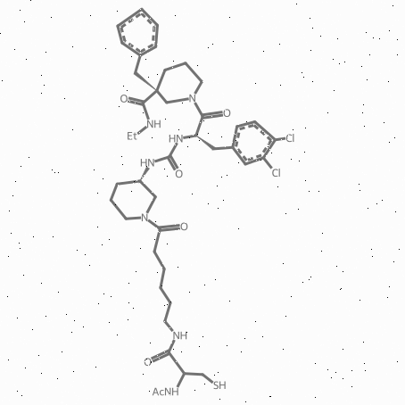 CCNC(=O)[C@]1(Cc2ccccc2)CCCN(C(=O)[C@@H](Cc2ccc(Cl)c(Cl)c2)NC(=O)N[C@@H]2CCCN(C(=O)CCCCCNC(=O)C(CS)NC(C)=O)C2)C1